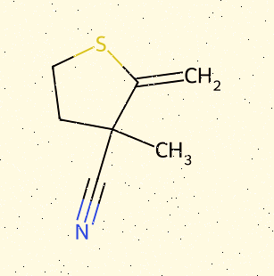 C=C1SCCC1(C)C#N